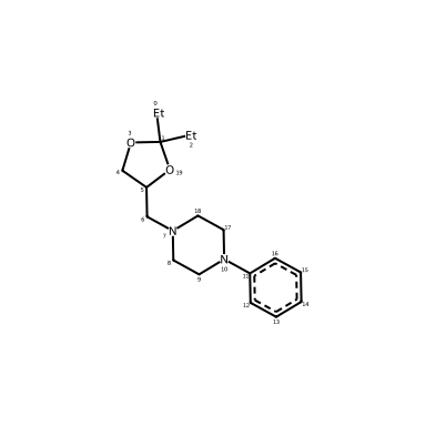 CCC1(CC)OCC(CN2CCN(c3ccccc3)CC2)O1